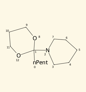 CCCCCC1(N2CCCCC2)OCCCO1